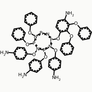 Nc1ccc(On2p(Oc3ccc(N)c(Oc4ccccc4)c3Oc3ccccc3)npn(Oc3ccccc3)p(Oc3ccccc3)n(Oc3ccc(N)cc3)p2Oc2ccc(N)cc2)cc1